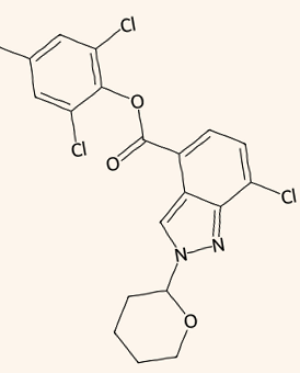 O=C(Oc1c(Cl)cc(Cl)cc1Cl)c1ccc(Cl)c2nn(C3CCCCO3)cc12